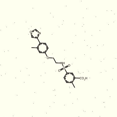 Cc1ccc(S(=O)(=O)NCCOc2ccc(-c3cocn3)c(C)c2)cc1C(=O)O